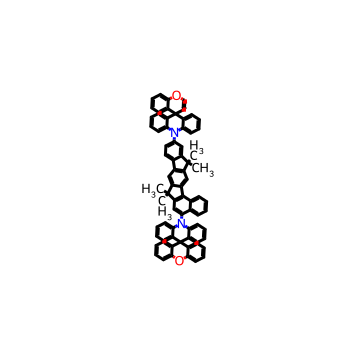 CC1(C)c2cc(N3c4ccccc4C4(c5ccccc5Oc5ccccc54)c4ccccc43)ccc2-c2cc3c(cc21)-c1c(cc(N2c4ccccc4C4(c5ccccc5Oc5ccccc54)c4ccccc42)c2ccccc12)C3(C)C